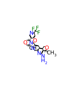 C[C@@H]1COC[C@H](c2ccc(C(F)(F)F)nc2)N1C(=O)c1cc2c3c(c(N)nc2cn1)[C@@H](C)OC3